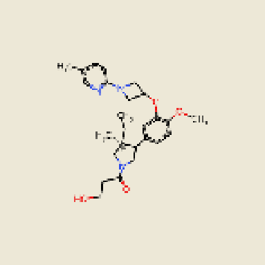 CC[C@]1(C)CN(C(=O)CCO)CC1c1ccc(OC)c(OC2CN(c3ccc(C)cn3)C2)c1